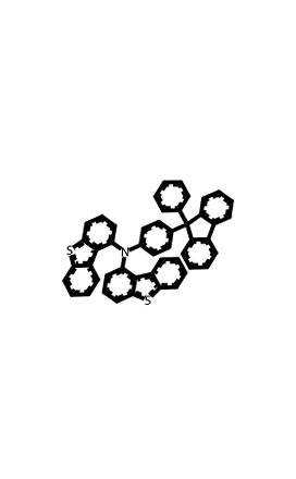 c1ccc(C2(c3ccc(N(c4cccc5sc6ccccc6c45)c4cccc5sc6ccccc6c45)cc3)c3ccccc3-c3ccccc32)cc1